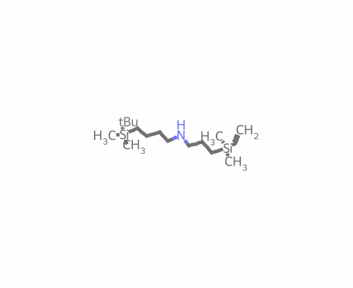 C=C[Si](C)(C)CCCNCCCC[Si](C)(C)C(C)(C)C